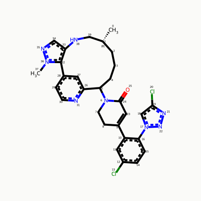 C[C@@H]1CCCC(N2CCC(c3cc(Cl)ccc3-n3cc(Cl)nn3)=CC2=O)c2cc(ccn2)-c2c(cnn2C)NC1